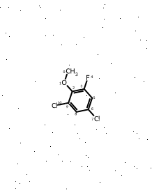 COc1c(F)cc(Cl)cc1Cl